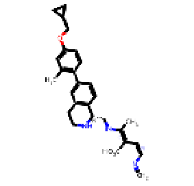 C=N/C=C\C(C(=O)O)=C(/C)NC[C@@H]1NCCc2cc(-c3ccc(OCC4CC4)cc3C)ccc21